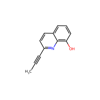 CC#Cc1ccc2cccc(O)c2n1